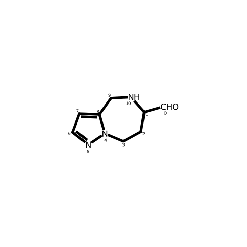 O=CC1CCn2nccc2CN1